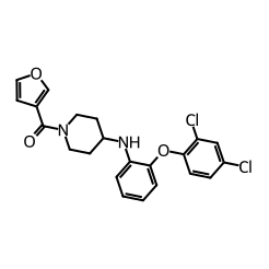 O=C(c1ccoc1)N1CCC(Nc2ccccc2Oc2ccc(Cl)cc2Cl)CC1